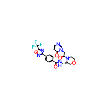 O=C(NC[C@H]1COCCN1C(=O)Cn1cnccc1=O)c1ccc(-c2noc(C(F)(F)F)n2)cc1